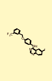 FC(F)(F)c1cccc(COc2ccc(Nc3ncnc4ccc(I)cc34)cc2)c1